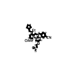 CCN(CC1CCCC1)c1ccc(OC)nc1CN(Cc1ccc(C#N)cc1)c1ncc(OCC[S+](C)[O-])cn1